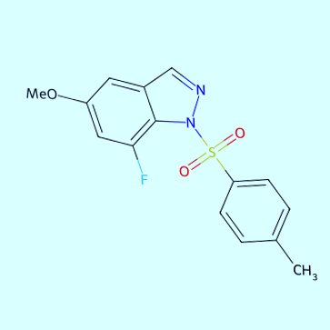 COc1cc(F)c2c(cnn2S(=O)(=O)c2ccc(C)cc2)c1